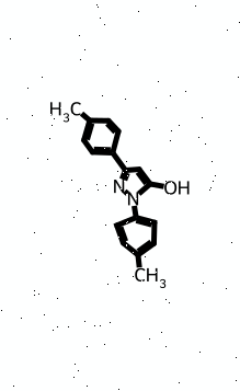 Cc1ccc(-c2cc(O)n(-c3ccc(C)cc3)n2)cc1